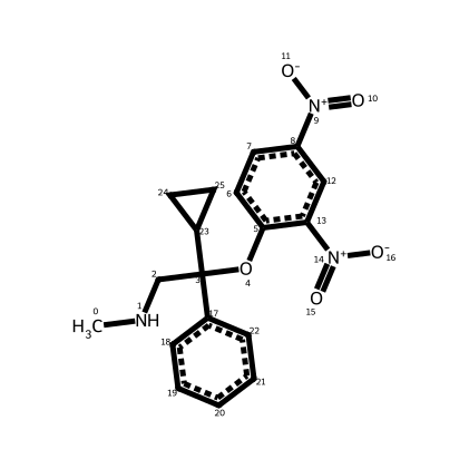 CNCC(Oc1ccc([N+](=O)[O-])cc1[N+](=O)[O-])(c1ccccc1)C1CC1